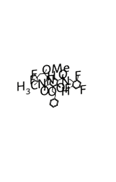 CO[C@@H]1CC(F)(F)[C@H](C)N2C[C@H]1n1cc(C(=O)NCc3c(F)cc(F)cc3F)c(=O)c(OCc3ccccc3)c1C2=O